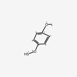 COc1ccc(OS)cc1